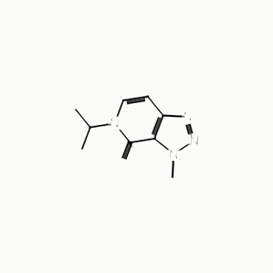 CC(C)n1ccc2nnn(C)c2c1=O